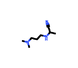 CC(C#N)NCCCN(C)C